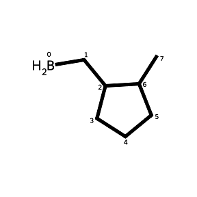 BCC1CCCC1C